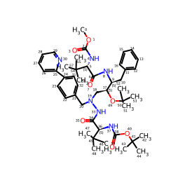 COC(=O)N[C@H](C(=O)N[C@@H](Cc1ccccc1)[C@H](CN(Cc1ccc(-c2ccccn2)cc1)NC(=O)[C@@H](NC(=O)OC(C)(C)C)C(C)(C)C)OC(C)(C)C)C(C)(C)C